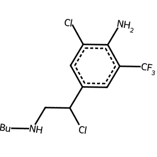 CCCCNCC(Cl)c1cc(Cl)c(N)c(C(F)(F)F)c1